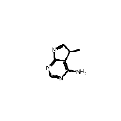 Nc1ncnc2c1C(I)C=N2